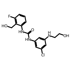 O=C(Nc1cc(Cl)cc(NCCO)c1)Nc1cccc(F)c1CO